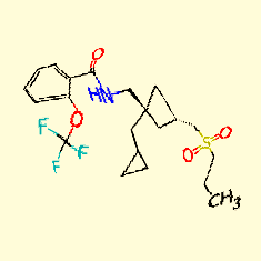 CCCS(=O)(=O)C[C@H]1C[C@@](CNC(=O)c2ccccc2OC(F)(F)F)(CC2CC2)C1